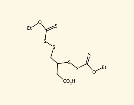 CCOC(=S)SSCC(CC(=O)O)SSC(=S)OCC